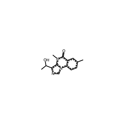 Cc1ccc2c(c1)c(=O)n(C)c1c(C(C)O)ncn21